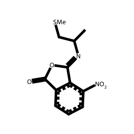 CSCC(C)N=C1OC(=O)c2cccc([N+](=O)[O-])c21